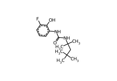 CC(C)(C)CC(C)(C)NC(=O)Nc1cccc(F)c1O